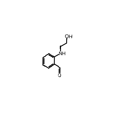 O=Cc1ccccc1NCCO